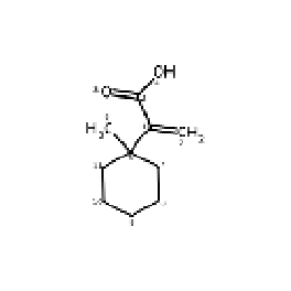 C=C(C(=O)O)C1(C)CCCCC1